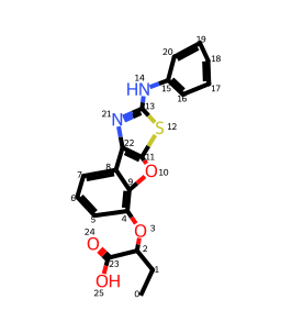 CCC(Oc1cccc2c1oc1sc(Nc3ccccc3)nc12)C(=O)O